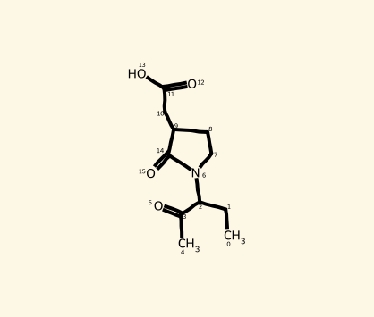 CCC(C(C)=O)N1CCC(CC(=O)O)C1=O